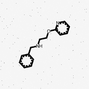 c1ccc(CNCCOc2ccccn2)cc1